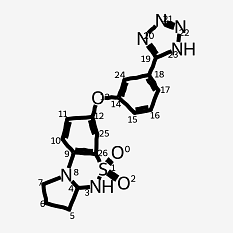 O=S1(=O)NC2CCCN2c2ccc(Oc3cccc(-c4nnn[nH]4)c3)cc21